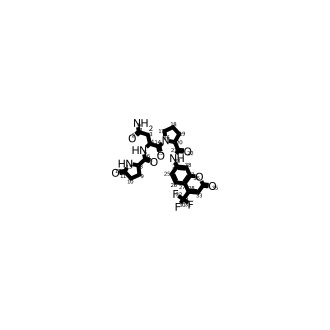 NC(=O)CC(NC(=O)C1CCC(=O)N1)C(=O)N1CCCC1C(=O)Nc1ccc2c(C(F)(F)F)cc(=O)oc2c1